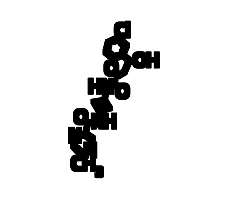 Cc1cnc(C(=O)NC23CC(NC(=O)[C@H]4C[C@@H](O)c5cc(Cl)ccc5O4)(C2)C3)cn1